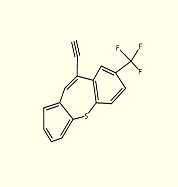 C#CC1=Cc2ccccc2Sc2ccc(C(F)(F)F)cc21